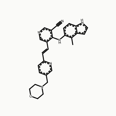 Cc1c(Nc2c(C#N)cncc2C=Cc2ccc(CN3CCOCC3)cn2)ccc2[nH]ccc12